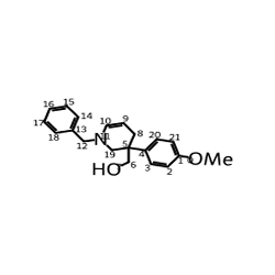 COc1ccc(C2(CO)CC=CN(Cc3ccccc3)C2)cc1